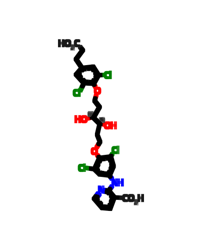 O=C(O)CCc1cc(Cl)c(OCC[C@H](O)[C@@H](O)CCOc2c(Cl)cc(Nc3ncccc3C(=O)O)cc2Cl)c(Cl)c1